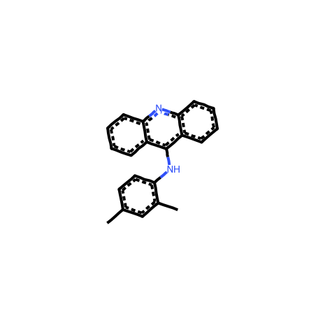 Cc1ccc(Nc2c3ccccc3nc3ccccc23)c(C)c1